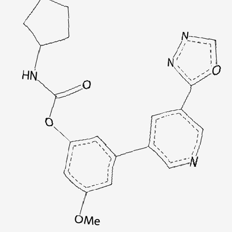 COc1cc(OC(=O)NC2CCCC2)cc(-c2cncc(-c3nnco3)c2)c1